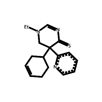 CCN1C=NC(=S)C(c2ccccn2)(C2CC=CCC2)C1